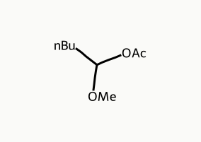 CCCCC(OC)OC(C)=O